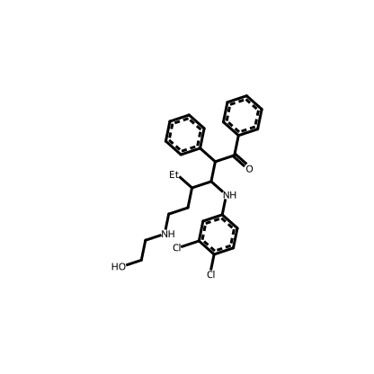 CCC(CCNCCO)C(Nc1ccc(Cl)c(Cl)c1)C(C(=O)c1ccccc1)c1ccccc1